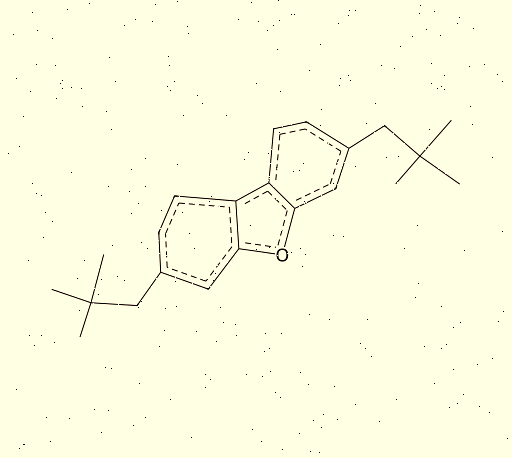 CC(C)(C)Cc1ccc2c(c1)oc1cc(CC(C)(C)C)ccc12